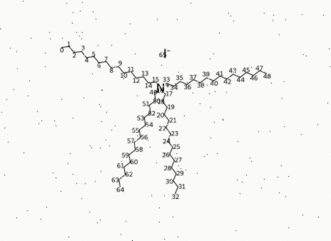 CCCCCCCCCCCCCCCC[N+](CCCCCCCCCCCCCCCC)(CCCCCCCCCCCCCCCC)CCCCCCCCCCCCCCCC.[I-]